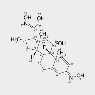 CC1C[C@H]2C3CCC4=C/C(=N/O)C=CC4(C)[C@@]3(F)C(O)CC2(C)C1/C(CO)=N/O